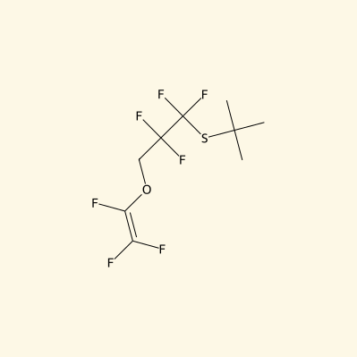 CC(C)(C)SC(F)(F)C(F)(F)COC(F)=C(F)F